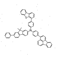 CC1(C)c2cc(-c3ccccc3)ccc2-c2ccc(N(c3ccc(-c4ccc5c6c(cccc46)-c4ccccc4-5)cc3)c3ccc(-c4cccc5c4sc4ccccc45)cc3)cc21